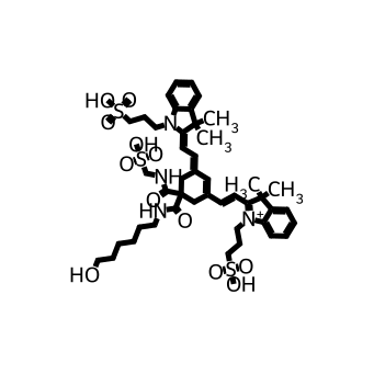 CC1(C)C(/C=C/C2=CC(=C/C=C3/N(CCCS(=O)(=O)O)c4ccccc4C3(C)C)/CC(C(=O)NCCCCCCO)(C(=O)NCS(=O)(=O)O)C2)=[N+](CCCS(=O)(=O)O)c2ccccc21